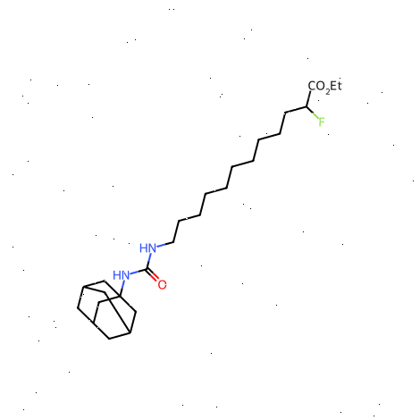 CCOC(=O)C(F)CCCCCCCCCCNC(=O)NC12CC3CC(CC(C3)C1)C2